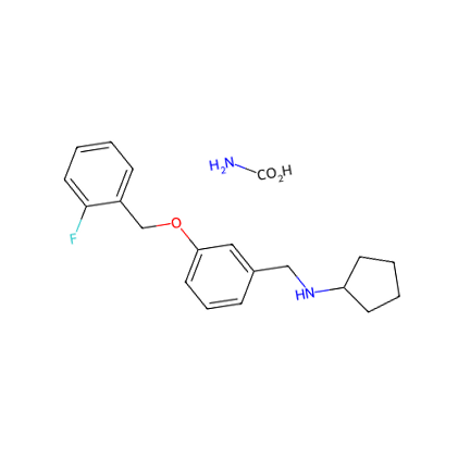 Fc1ccccc1COc1cccc(CNC2CCCC2)c1.NC(=O)O